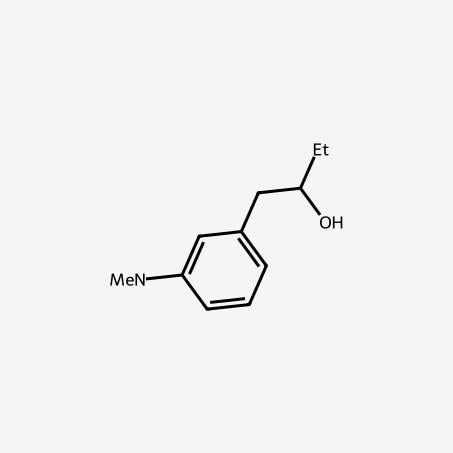 CCC(O)Cc1cccc(NC)c1